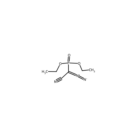 CCOP(=O)(OCC)C(C#N)=[N+]=[N-]